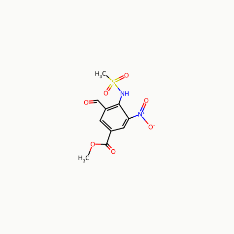 COC(=O)c1cc(C=O)c(NS(C)(=O)=O)c([N+](=O)[O-])c1